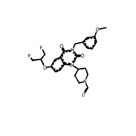 COc1cccc(Cn2c(=O)c3cc(OC(CF)CF)ccc3n(C3CCN(C=O)CC3)c2=O)c1